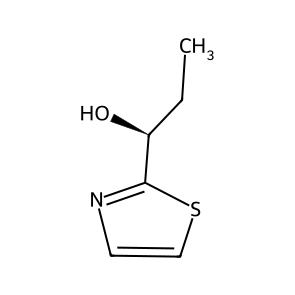 CC[C@H](O)c1nccs1